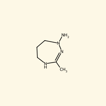 CC1=NN(N)CCCN1